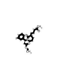 CCOC(=O)C[C@@H](c1cccc(F)c1)N1CCCC(CCCC(C)=O)C1=O